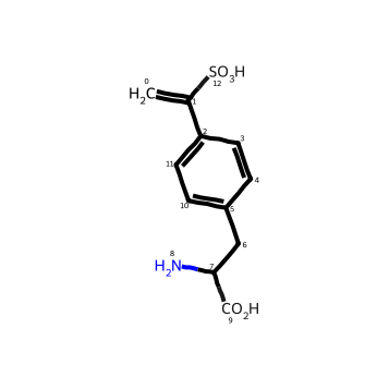 C=C(c1ccc(CC(N)C(=O)O)cc1)S(=O)(=O)O